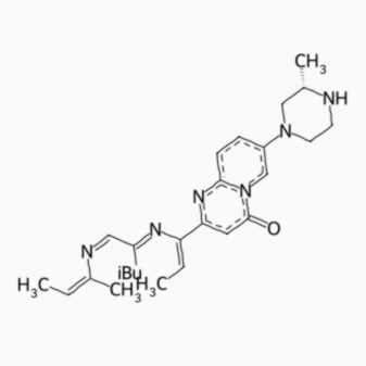 C\C=C(C)/N=C\C(=N\C(=C/C)c1cc(=O)n2cc(N3CCN[C@@H](C)C3)ccc2n1)C(C)CC